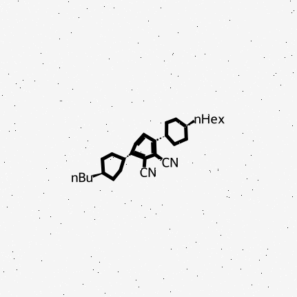 CCCCCC[C@H]1CC[C@H](c2ccc([C@H]3CC[C@H](CCCC)CC3)c(C#N)c2C#N)CC1